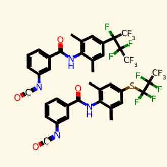 Cc1cc(C(F)(C(F)(F)F)C(F)(F)C(F)(F)F)cc(C)c1NC(=O)c1cccc(N=C=O)c1.Cc1cc(SC(F)(F)C(F)(F)C(F)(F)F)cc(C)c1NC(=O)c1cccc(N=C=O)c1